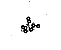 c1ccc(-c2cncc3c2oc2cccc(C4=NC(c5ccc6ccccc6c5)=NC(c5cccc6oc7ccccc7c56)N4)c23)cc1